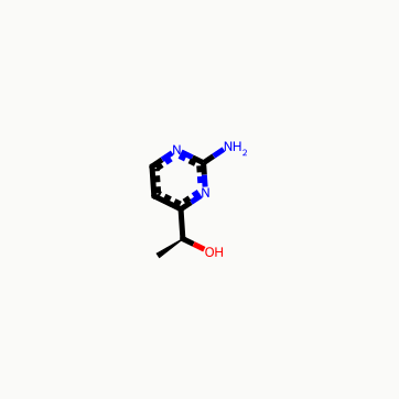 C[C@H](O)c1ccnc(N)n1